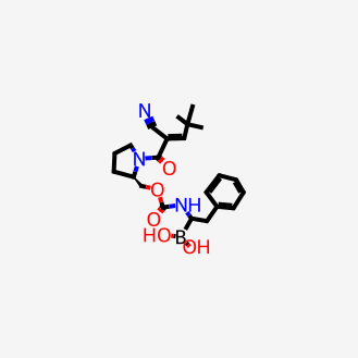 CC(C)(C)C=C(C#N)C(=O)N1CCC[C@@H]1COC(=O)NC(Cc1ccccc1)B(O)O